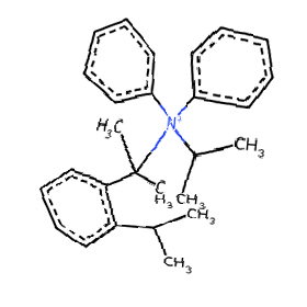 CC(C)c1ccccc1C(C)(C)[N+](c1ccccc1)(c1ccccc1)C(C)C